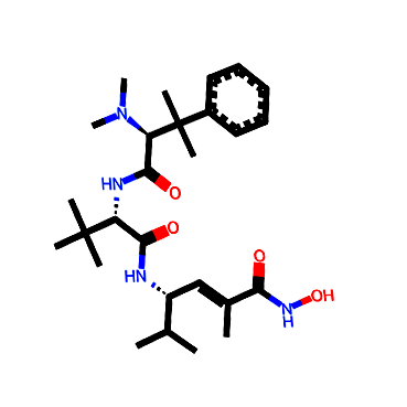 C/C(=C\[C@@H](NC(=O)[C@@H](NC(=O)[C@@H](N(C)C)C(C)(C)c1ccccc1)C(C)(C)C)C(C)C)C(=O)NO